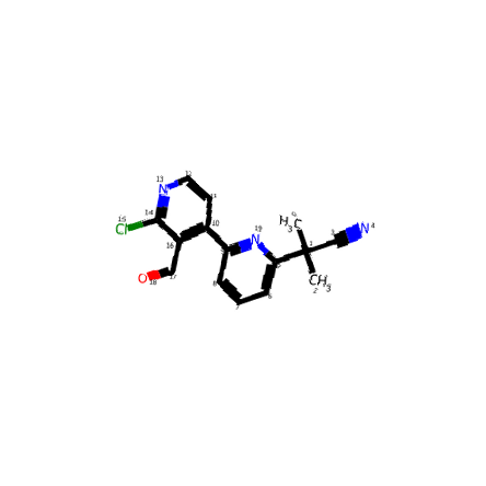 CC(C)(C#N)c1cccc(-c2ccnc(Cl)c2C=O)n1